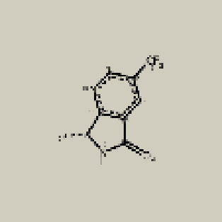 C[C@H]1NC(=O)c2cc(C(F)(F)F)cnc21